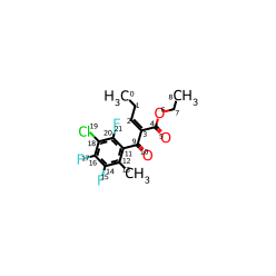 CCC=C(C(=O)OCC)C(=O)c1c(C)c(F)c(F)c(Cl)c1F